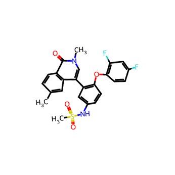 Cc1ccc2c(=O)n(C)cc(-c3cc(NS(C)(=O)=O)ccc3Oc3ccc(F)cc3F)c2c1